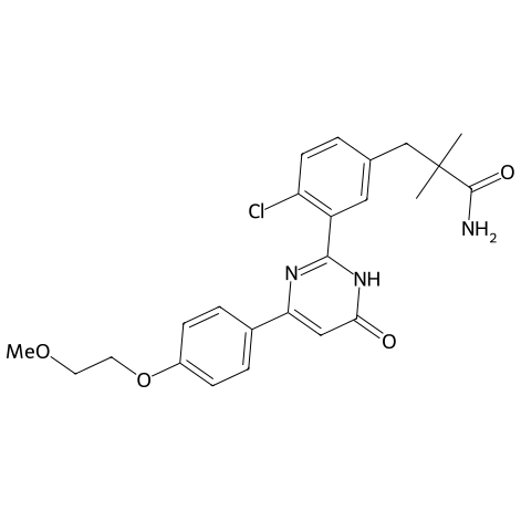 COCCOc1ccc(-c2cc(=O)[nH]c(-c3cc(CC(C)(C)C(N)=O)ccc3Cl)n2)cc1